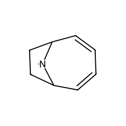 C1=CC2CCC(C=C1)[N]2